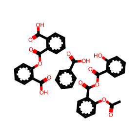 CC(=O)Oc1ccccc1C(=O)OC(=O)c1ccccc1O.O=C(O)c1ccccc1.O=C(O)c1ccccc1OC(=O)c1ccccc1C(=O)O